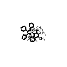 Cc1cc(C(C)(C)C)c([Si]2(C)C(c3ccccc3)=C(c3ccccc3)C(c3ccccc3)=C2c2ccccc2)c(C(C)(C)C)c1C